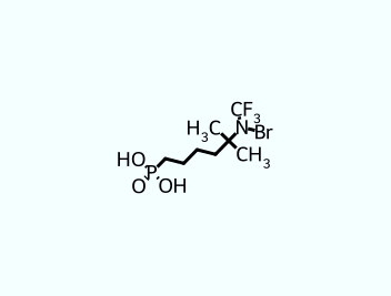 CC(C)(CCCCP(=O)(O)O)N(Br)C(F)(F)F